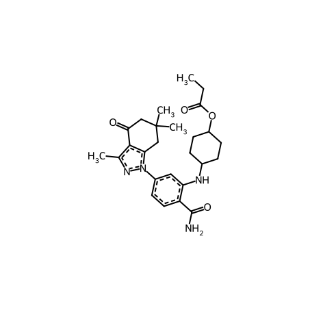 CCC(=O)OC1CCC(Nc2cc(-n3nc(C)c4c3CC(C)(C)CC4=O)ccc2C(N)=O)CC1